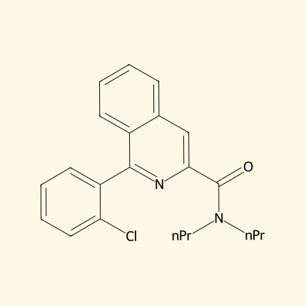 CCCN(CCC)C(=O)c1cc2ccccc2c(-c2ccccc2Cl)n1